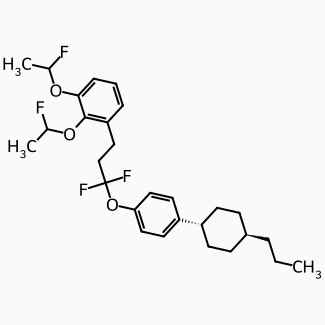 CCC[C@H]1CC[C@H](c2ccc(OC(F)(F)CCc3cccc(OC(C)F)c3OC(C)F)cc2)CC1